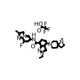 CCn1cc2c(N3CCC4(CC3)CCN4C)ccc(C(=O)Nc3cc(F)c4nc(C)cn4c3)c2n1.O=C(O)C(F)(F)F